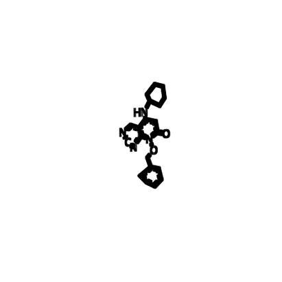 O=c1cc(NC2CCCCC2)c2cncnc2n1OCc1ccccc1